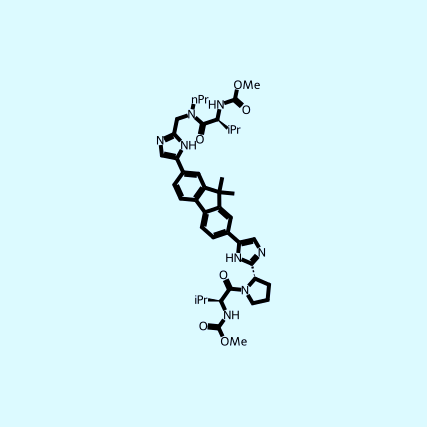 CCCN(Cc1ncc(-c2ccc3c(c2)C(C)(C)c2cc(-c4cnc([C@@H]5CCCN5C(=O)[C@@H](NC(=O)OC)C(C)C)[nH]4)ccc2-3)[nH]1)C(=O)[C@@H](NC(=O)OC)C(C)C